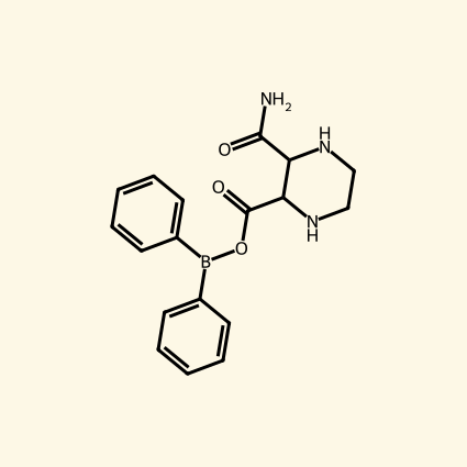 NC(=O)C1NCCNC1C(=O)OB(c1ccccc1)c1ccccc1